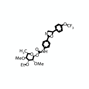 CCO[C@@H]1[C@@H](OC)[C@H](C)O[C@@H](OC(=O)Nc2ccc(C3=NCC(c4ccc(OC(F)(F)F)cc4)O3)cc2)[C@@H]1OC